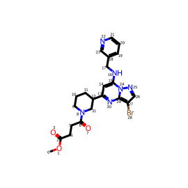 COC(=O)CCC(=O)N1CCCC(c2cc(NCc3cccnc3)n3ncc(Br)c3n2)C1